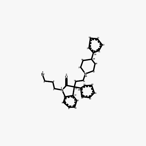 O=C1N(CCCBr)c2ccccc2C1(CCN1CCC(c2ccccc2)CC1)c1ccccc1